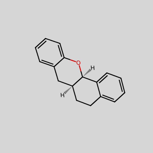 c1ccc2c(c1)C[C@@H]1CCc3ccccc3[C@@H]1O2